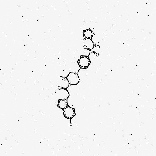 C[C@H]1CN(c2ccc(S(=O)(=O)Nc3nccs3)cc2)CCN1C(=O)Cn1ccc2cc(F)ccc21